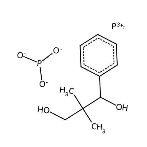 CC(C)(CO)C(O)c1ccccc1.[O-]P([O-])[O-].[P+3]